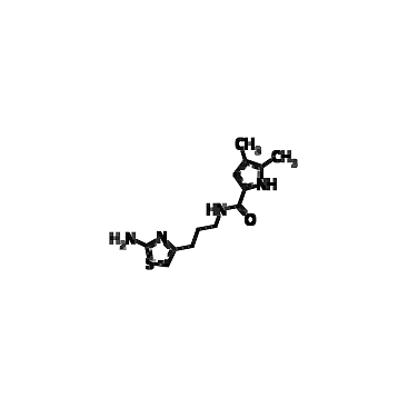 Cc1cc(C(=O)NCCCc2csc(N)n2)[nH]c1C